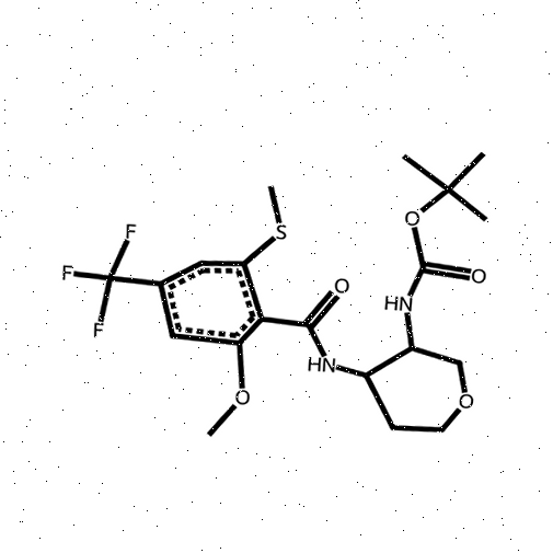 COc1cc(C(F)(F)F)cc(SC)c1C(=O)NC1CCOCC1NC(=O)OC(C)(C)C